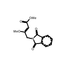 COC(=O)C=C(CN1C(=O)c2ccccc2C1=O)OC